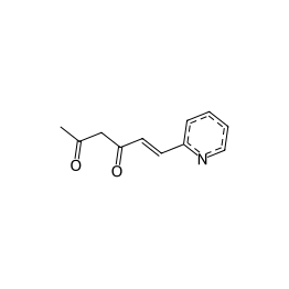 CC(=O)CC(=O)C=Cc1ccccn1